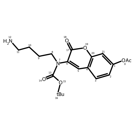 CC(=O)Oc1ccc2cc(N(CCCCN)C(=O)OC(C)(C)C)c(=O)oc2c1